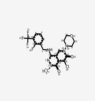 Cn1nc(NCc2cccc(C(F)(F)F)c2F)c2cn(N3CCOCC3)c(=O)c(Cl)c2c1=O